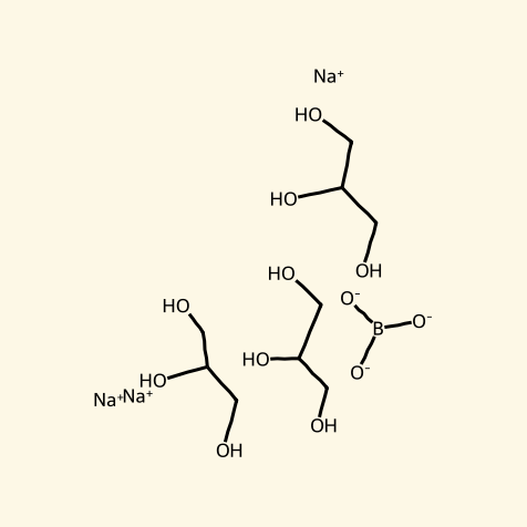 OCC(O)CO.OCC(O)CO.OCC(O)CO.[Na+].[Na+].[Na+].[O-]B([O-])[O-]